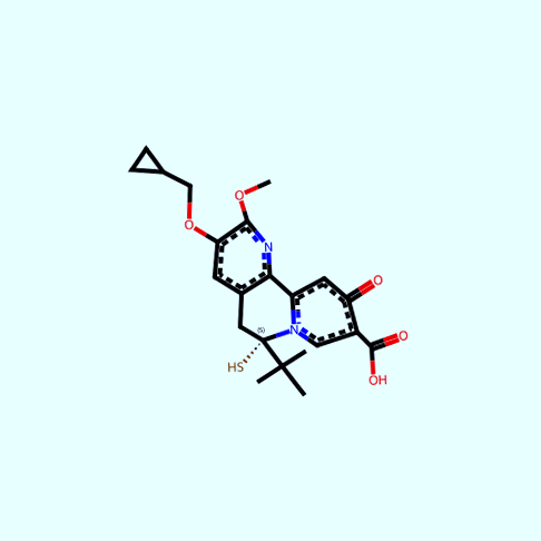 COc1nc2c(cc1OCC1CC1)C[C@](S)(C(C)(C)C)n1cc(C(=O)O)c(=O)cc1-2